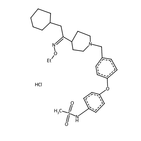 CCON=C(CC1CCCCC1)C1CCN(Cc2ccc(Oc3ccc(NS(C)(=O)=O)cc3)cc2)CC1.Cl